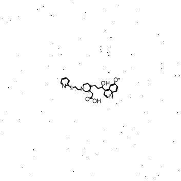 COc1ccc2nccc(C(O)CC[C@@H]3CCN(CCSc4ccccn4)C[C@@H]3CC(=O)O)c2c1